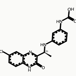 C[C@H](Nc1cccc(NC(=O)O)c1)c1nc2cc(Cl)ccc2[nH]c1=O